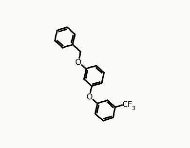 FC(F)(F)c1cccc(Oc2cccc(OCc3ccccc3)c2)c1